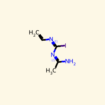 C=C/N=C(I)\N=C(\C)N